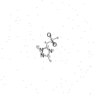 Cc1nc(CS(C)(=O)=O)n(C)n1